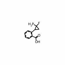 O=C(O)c1ccccc1C1CC1(F)P